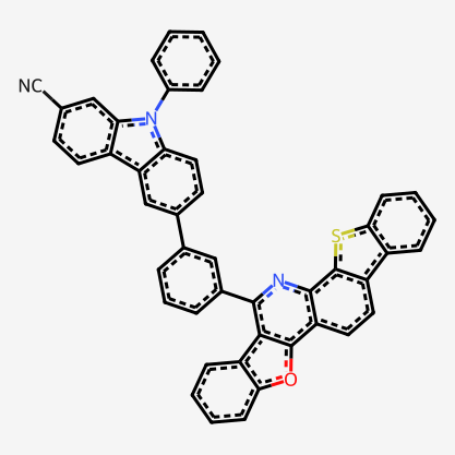 N#Cc1ccc2c3cc(-c4cccc(-c5nc6c(ccc7c8ccccc8sc76)c6oc7ccccc7c56)c4)ccc3n(-c3ccccc3)c2c1